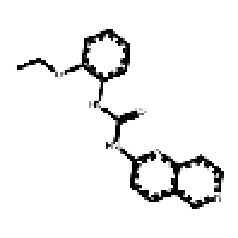 CCOc1ccccc1NC(=O)Nc1ccc2cnccc2n1